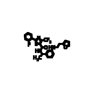 CC(NC(=O)c1sc(-c2ccccc2F)nc1C(F)(F)F)c1cccc(NCCc2ccco2)c1